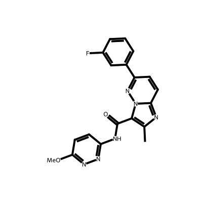 COc1ccc(NC(=O)c2c(C)nc3ccc(-c4cccc(F)c4)nn23)nn1